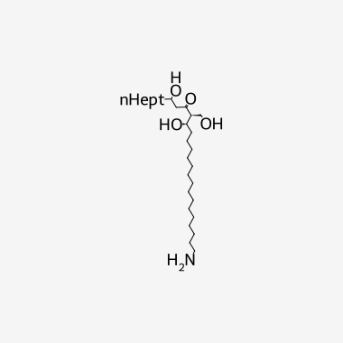 CCCCCCCC(O)CC(=O)[C@@H](CO)[C@H](O)CCCCCCCCCCCCCCCN